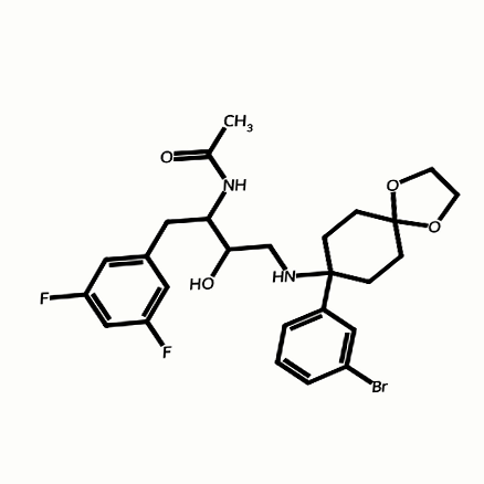 CC(=O)NC(Cc1cc(F)cc(F)c1)C(O)CNC1(c2cccc(Br)c2)CCC2(CC1)OCCO2